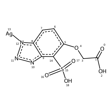 O=C(O)COc1ccc2c(nn[n]2[Ag])c1S(=O)(=O)O